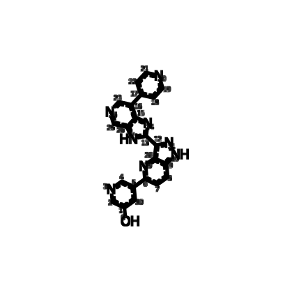 Oc1cncc(-c2ccc3[nH]nc(-c4nc5c(-c6ccncc6)cncc5[nH]4)c3n2)c1